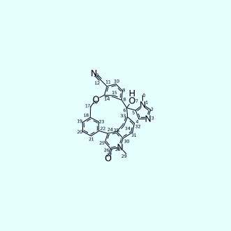 Cn1cncc1C1(O)c2ccc(C#N)c(c2)OCc2cccc(c2)-c2cc(=O)n(C)c3ccc1cc23